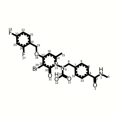 CNC(=O)c1ccc(CN(C(=O)O)n2c(C)cc(OCc3ccc(F)cc3F)c(Br)c2=O)cc1